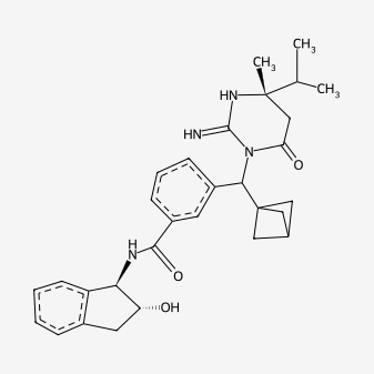 CC(C)[C@]1(C)CC(=O)N(C(c2cccc(C(=O)N[C@@H]3c4ccccc4C[C@H]3O)c2)C23CC(C2)C3)C(=N)N1